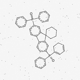 O=P(C1=CC=CCC1)(c1ccccc1)c1ccc2c(c1)C1(CCCCC1)c1cc(P(=O)(c3ccccc3)c3ccccc3)ccc1-2